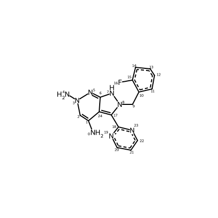 NC1=CN(N)N=C2NN(Cc3ccccc3F)C(c3ncccn3)=C12